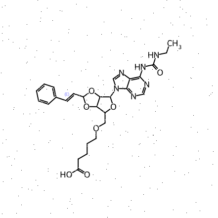 CCNC(=O)Nc1ncnc2c1ncn2C1OC(COCCCCC(=O)O)C2OC(/C=C/c3ccccc3)OC21